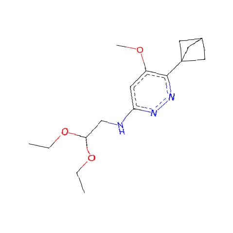 CCOC(CNc1cc(OC)c(C23CC(C2)C3)nn1)OCC